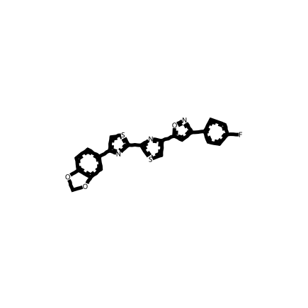 Fc1ccc(-c2cc(-c3csc(-c4nc(-c5ccc6c(c5)OCO6)cs4)n3)on2)cc1